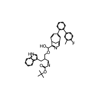 Cc1cc(-c2ccccc2C2=CC3=CN=C(C(O)OCC(/C=N\C(=O)OC(C)(C)C)Cc4c[nH]c5ccccc45)C(C=C2)C3)ccc1F